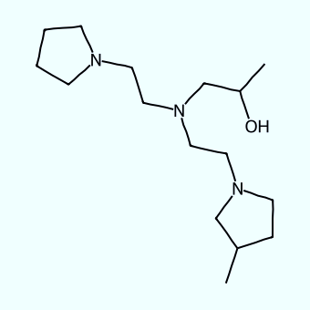 CC(O)CN(CCN1CCCC1)CCN1CCC(C)C1